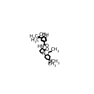 CCC[C@H]1C[C@H](N(C)C)CC[C@@H]1N1CC[C@H](NC(=O)c2ccc(O)c(C(C)(C)C)c2)C1=O